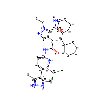 CCn1ncc([C@@H](C(=O)Nc2ccc(-c3c(C)n[nH]c3C)c(C(F)F)n2)C(C2CCCCC2)C2CCCCC2)c1C(N)=O